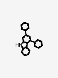 c1ccc(-c2cc(-c3ccccc3)c3c(c2)[nH]c2ccccc23)cc1